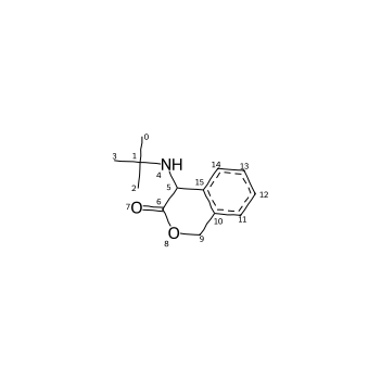 CC(C)(C)NC1C(=O)OCc2ccccc21